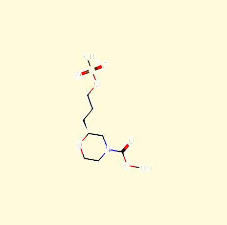 CC(C)(C)OC(=O)N1CCO[C@@H](CCCOS(C)(=O)=O)C1